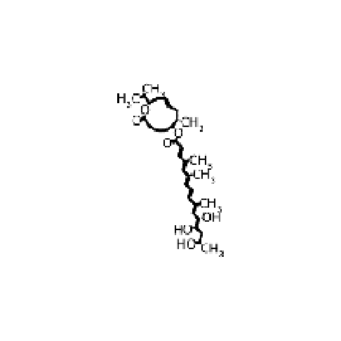 CC(=C\C=C\C(C)=C\[C@H](O)[C@@H](O)C[C@@H](C)O)/C=C(C)/C=C/C(=O)O[C@H]1CCCC(=O)OC(C(C)C)C/C=C/C[C@@H]1C